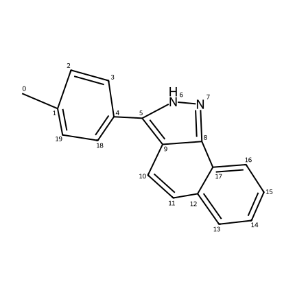 Cc1ccc(-c2[nH]nc3c2ccc2ccccc23)cc1